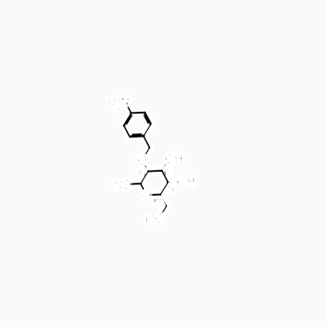 Nc1ccc(CO[C@@H]2C(O)O[C@H](CO)[C@@H](O)[C@@H]2O)cc1